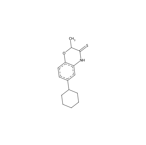 CC1Oc2ccc(C3CCCCC3)cc2NC1=S